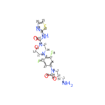 NC[C@H]1CN(c2cc(F)c(N3CCON(C(=O)Nc4nccs4)CC3)c(F)c2)C(=O)O1